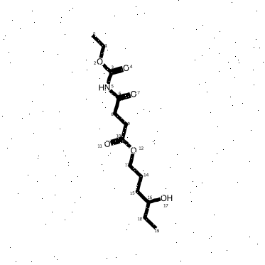 CCOC(=O)NC(=O)CCC(=O)OCCCC(O)CC